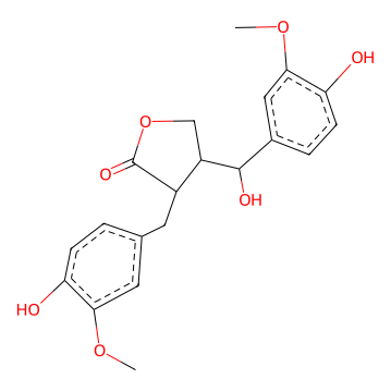 COc1cc(CC2C(=O)OCC2C(O)c2ccc(O)c(OC)c2)ccc1O